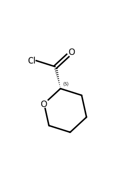 O=C(Cl)[C@@H]1CCCCO1